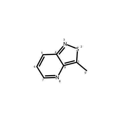 Cc1snc2cccnc12